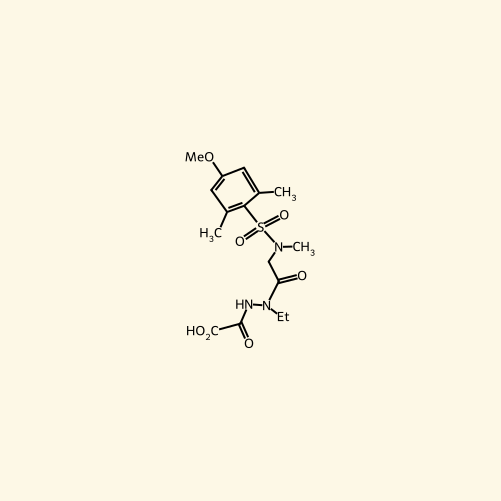 CCN(NC(=O)C(=O)O)C(=O)CN(C)S(=O)(=O)c1c(C)cc(OC)cc1C